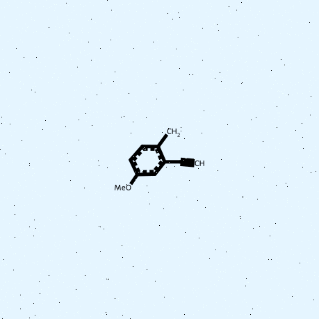 C#Cc1cc(OC)ccc1[CH2]